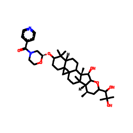 C[C@@H]1CC(C(O)C(C)(C)O)OC2[C@H]1C1(C)CCC34CC35CCC(O[C@H]3CN(C(=O)c6ccncc6)CCO3)C(C)(C)[C@@H]5CCC4[C@]1(C)[C@H]2O